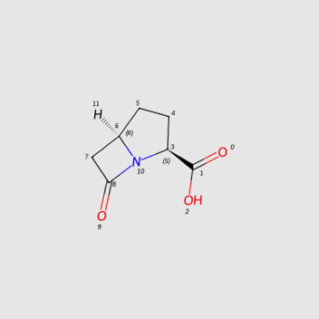 O=C(O)[C@@H]1CC[C@@H]2CC(=O)N21